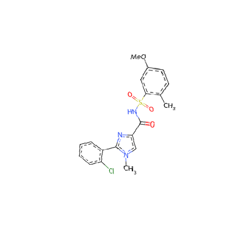 COc1ccc(C)c(S(=O)(=O)NC(=O)c2cn(C)c(-c3ccccc3Cl)n2)c1